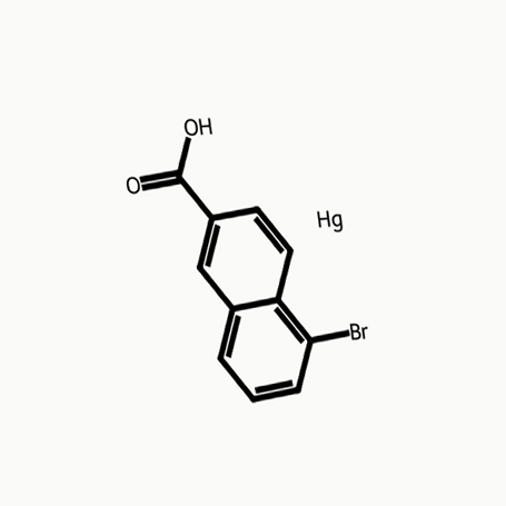 O=C(O)c1ccc2c(Br)cccc2c1.[Hg]